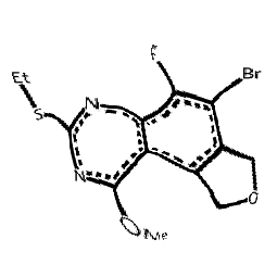 CCSc1nc(OC)c2c3c(c(Br)c(F)c2n1)COC3